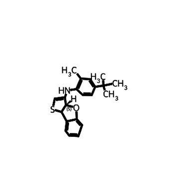 Cc1cc(C(C)(C)C)ccc1NC1=CSC2c3ccccc3O[C@@H]12